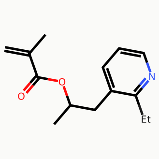 C=C(C)C(=O)OC(C)Cc1cccnc1CC